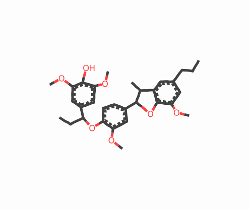 CCCc1cc(OC)c2c(c1)C(C)C(c1ccc(OC(CC)c3cc(OC)c(O)c(OC)c3)c(OC)c1)O2